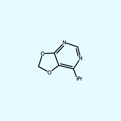 CC(C)c1ncnc2c1OCO2